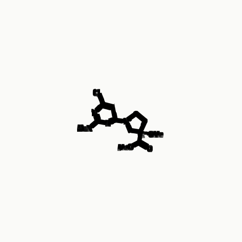 CNc1nc(Cl)cc(N2CC[C@@](OC)(C(=O)OC)C2)n1